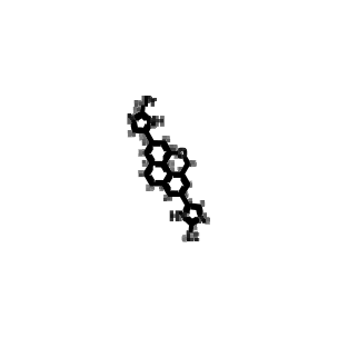 CCc1ncc(-c2cc3c4c(ccc5cc(-c6cnc(C(C)C)[nH]6)cc(c54)OC3)c2)[nH]1